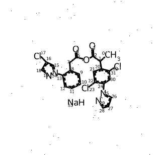 CC(C(=O)OC(=O)Cc1ccccc1-n1cc(Cl)cn1)c1cc(Cl)c(-n2cccn2)cc1Cl.[NaH]